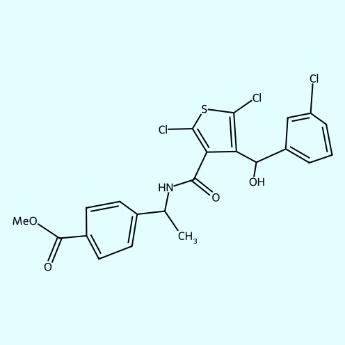 COC(=O)c1ccc(C(C)NC(=O)c2c(Cl)sc(Cl)c2C(O)c2cccc(Cl)c2)cc1